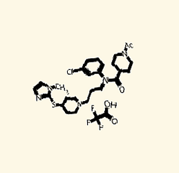 CC(=O)N1CCC(C(=O)N(CCCN2CCC(Sc3nccn3C)CC2)c2cccc(Cl)c2)CC1.O=C(O)C(F)(F)F